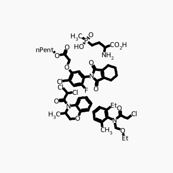 CC1COc2ccccc2N1C(=O)C(Cl)Cl.CCCCCOC(=O)COc1cc(N2C(=O)C3=C(CCCC3)C2=O)c(F)cc1Cl.CCOCN(C(=O)CCl)c1c(C)cccc1CC.CP(=O)(O)CCC(N)C(=O)O